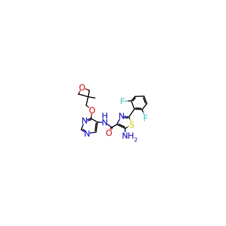 CC1(COc2ncncc2NC(=O)c2nc(-c3c(F)cccc3F)sc2N)COC1